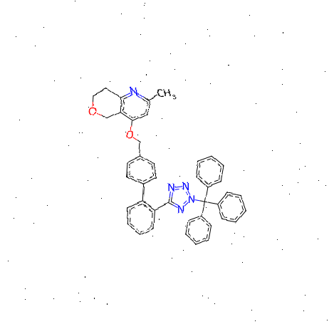 Cc1cc(OCc2ccc(-c3ccccc3-c3nnn(C(c4ccccc4)(c4ccccc4)c4ccccc4)n3)cc2)c2c(n1)CCOC2